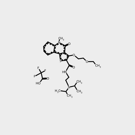 CCOCCOc1c(C(=O)NCCN(C(C)C)C(C)C)sc2c1c(=O)n(C)c1ccccc21.O=C(O)C(F)(F)F